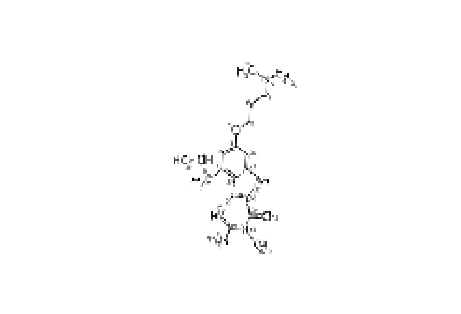 Cc1cc(OCCCN(C)C)cc2[nH]c(C(=O)N(C)C(=N)N)cc12.Cl.Cl